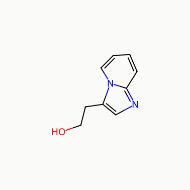 OCCc1cnc2ccccn12